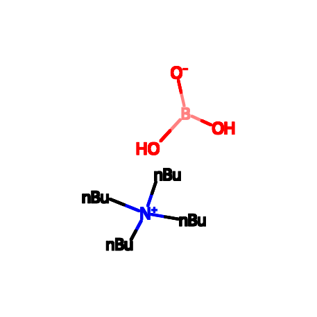 CCCC[N+](CCCC)(CCCC)CCCC.[O-]B(O)O